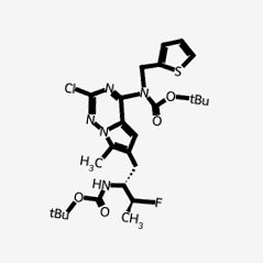 Cc1c(C[C@@H](NC(=O)OC(C)(C)C)[C@H](C)F)cc2c(N(Cc3cccs3)C(=O)OC(C)(C)C)nc(Cl)nn12